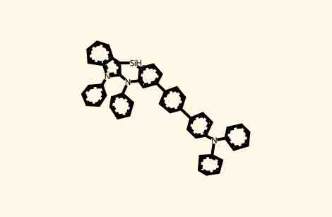 c1ccc(N(c2ccccc2)c2ccc(-c3ccc(-c4ccc5c(c4)N(c4ccccc4)c4c(c6ccccc6n4-c4ccccc4)[SiH2]5)cc3)cc2)cc1